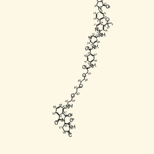 CC1(C)Oc2cc(N3CCCC3=O)ccc2-c2cnc(Nc3cncc(NC(=O)c4ccc(NC(=O)COCCOCCOCCNc5cccc6c5C(=O)N(C5CCC(=O)NC5=O)C6=O)cc4)c3)cc21